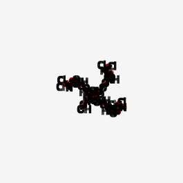 CN1Cc2c(Cl)cc(Cl)cc2[C@H](c2cccc(S(=O)(=O)NCCOCCOCCNC(=O)CCC(CCC(=O)NCCOCCOCCNS(=O)(=O)c3cccc([C@@H]4CN(C)Cc5c(Cl)cc(Cl)cc54)c3)(CCC(=O)NCCOCCOCCNS(=O)(=O)c3cccc([C@@H]4CN(C)Cc5c(Cl)cc(Cl)cc54)c3)NC(=O)N3CCN(CCOCCO)CC3)c2)C1